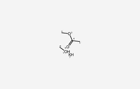 CO.COC(C)=O.[KH]